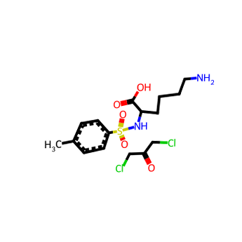 Cc1ccc(S(=O)(=O)NC(CCCCN)C(=O)O)cc1.O=C(CCl)CCl